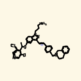 CC(Oc1ccc2c(c1)c(/C=C/c1ccc(CN3CCc4ccccc4C3)cc1)nn2CCCN)c1c(Cl)cncc1Cl